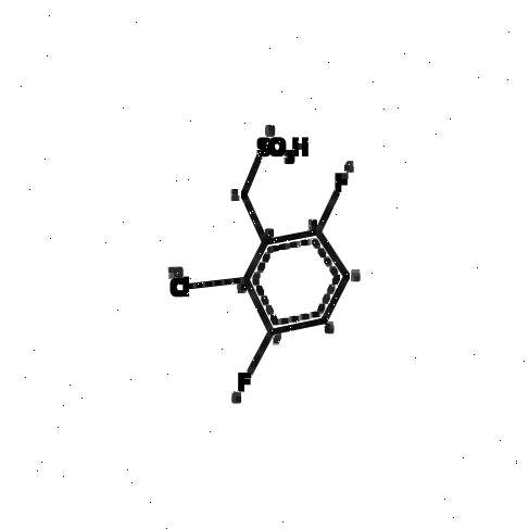 O=S(=O)(O)Cc1c(F)ccc(F)c1Cl